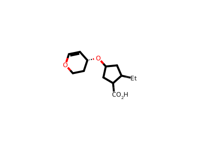 CCC1CC(O[C@H]2C=COCC2)CC1C(=O)O